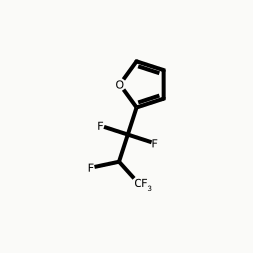 FC(C(F)(F)F)C(F)(F)c1ccco1